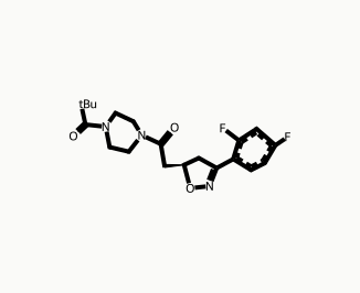 CC(C)(C)C(=O)N1CCN(C(=O)C[C@H]2CC(c3ccc(F)cc3F)=NO2)CC1